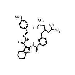 COc1ccc(C=NNC(=O)c2c(NC(=O)c3cccc(CN(CC(C)O)CC(C)O)c3)sc3c2CCCC3)cc1